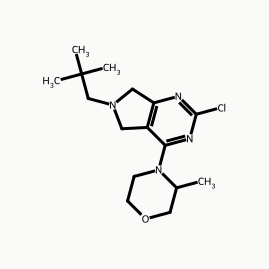 CC1COCCN1c1nc(Cl)nc2c1CN(CC(C)(C)C)C2